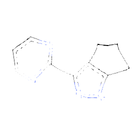 c1cnc(-c2n[nH]c3c2CCC3)nc1